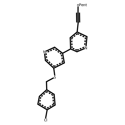 CCCCCC#Cc1cncc(-c2cncc(SCc3ccc(Cl)cc3)c2)c1